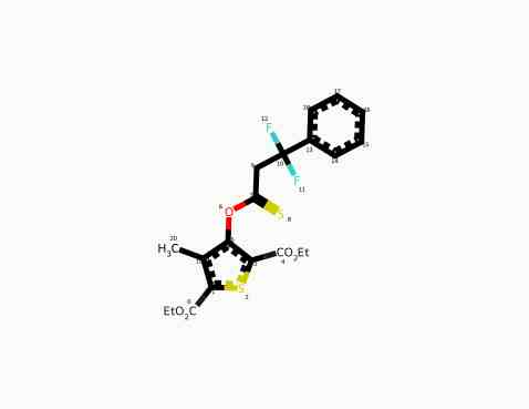 CCOC(=O)c1sc(C(=O)OCC)c(OC(=S)CC(F)(F)c2ccccc2)c1C